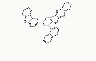 c1ccc2c(c1)ccc1c2c2cc(-c3ccc4oc5ccccc5c4c3)cc3c4nc5ccccc5nc4n1c32